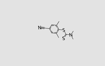 Cc1cc(C#N)cc(C)c1SC(=S)N(C)C